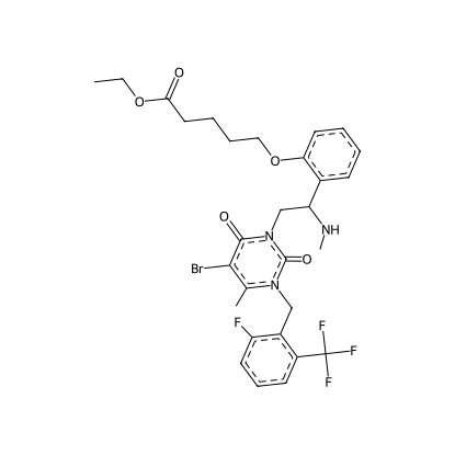 CCOC(=O)CCCCOc1ccccc1C(Cn1c(=O)c(Br)c(C)n(Cc2c(F)cccc2C(F)(F)F)c1=O)NC